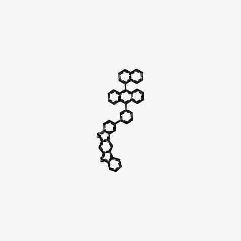 c1cc(-c2ccc3sc4cc5sc6ccccc6c5cc4c3c2)cc(-c2c3ccccc3c(-c3cccc4ccccc34)c3ccccc23)c1